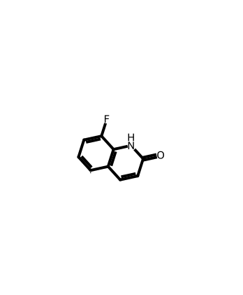 O=c1ccc2[c]ccc(F)c2[nH]1